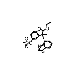 CCOC1Oc2ccc(OS(C)(=O)=O)cc2C1(C)C.c1ccc2scnc2c1